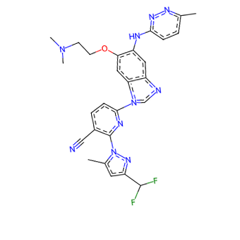 Cc1ccc(Nc2cc3ncn(-c4ccc(C#N)c(-n5nc(C(F)F)cc5C)n4)c3cc2OCCN(C)C)nn1